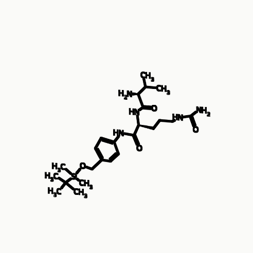 CC(C)[C@H](N)C(=O)N[C@@H](CCCNC(N)=O)C(=O)Nc1ccc(CO[Si](C)(C)C(C)(C)C)cc1